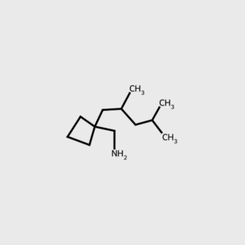 CC(C)CC(C)CC1(CN)CCC1